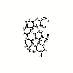 CN1Cc2cnc3ccc(-c4ccc(N)nc4)nc3c2N(c2ccc(N3CCNCC3)c(C(F)(F)F)c2)C1=O